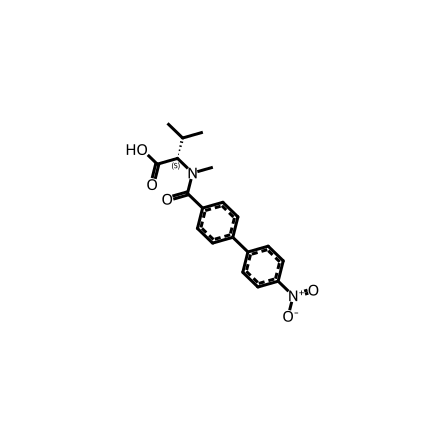 CC(C)[C@@H](C(=O)O)N(C)C(=O)c1ccc(-c2ccc([N+](=O)[O-])cc2)cc1